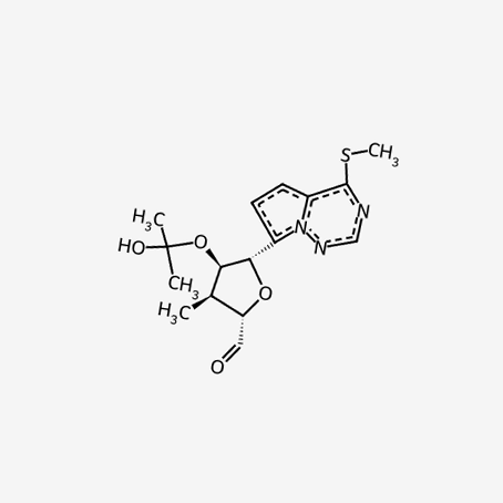 CSc1ncnn2c([C@@H]3O[C@H](C=O)[C@@H](C)[C@H]3OC(C)(C)O)ccc12